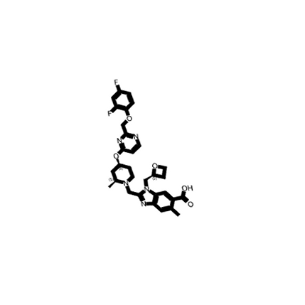 Cc1cc2nc(CN3CC[C@H](Oc4ccnc(COc5ccc(F)cc5F)n4)C[C@@H]3C)n(C[C@@H]3CCO3)c2cc1C(=O)O